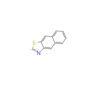 [c]1nc2cc3ccccc3cc2s1